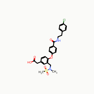 CN(Cc1cc(CC(=O)O)ccc1Oc1ccc(C(=O)NCCc2ccc(Cl)cc2)cc1)S(C)(=O)=O